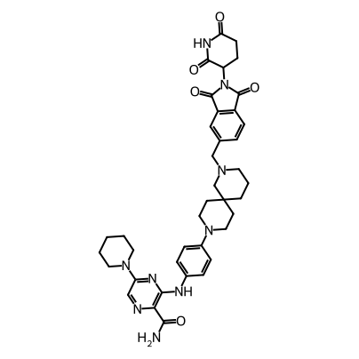 NC(=O)c1ncc(N2CCCCC2)nc1Nc1ccc(N2CCC3(CCCN(Cc4ccc5c(c4)C(=O)N(C4CCC(=O)NC4=O)C5=O)C3)CC2)cc1